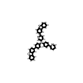 c1ccc(-c2ccc(N(c3ccc(-c4ccc5oc6ccccc6c5c4)cc3)c3ccc(-c4ccc5sc6ccccc6c5c4)nc3)cc2)nc1